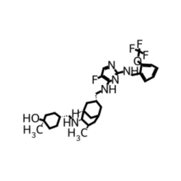 C[C@@H]1CC2C[C@@H](CNc3nc(NCc4ccccc4OC(F)(F)F)ncc3F)C[C@@H](C2)[C@H]1NC[C@H]1CC[C@](C)(O)CC1